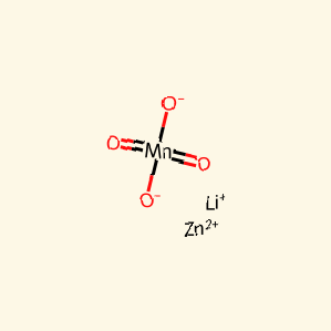 [Li+].[O]=[Mn](=[O])([O-])[O-].[Zn+2]